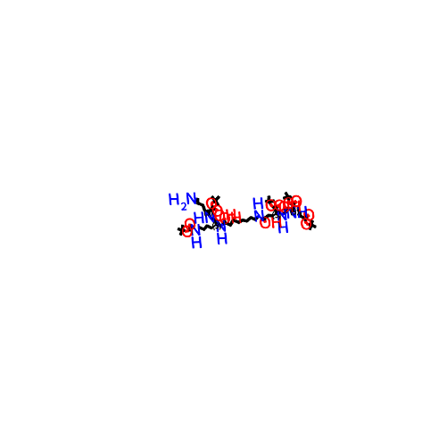 CC(C)(C)OC(=O)CC[C@H](NC(O)N[C@@H](CCC(O)NCCCCCCCC(O)N[C@@H](CCCCNC(=O)OC(C)(C)C)C(O)N[C@@H](CCCCN)C(=O)OC(C)(C)C)C(=O)OC(C)(C)C)C(=O)OC(C)(C)C